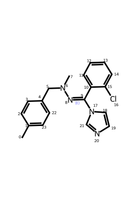 Cc1ccc(CN(C)/N=C(\c2ccccc2Cl)n2ccnc2)cc1